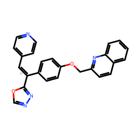 C(=C(/c1ccc(OCc2ccc3ccccc3n2)cc1)c1nnco1)/c1ccncc1